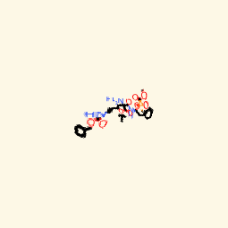 COC(=O)P(C)(=O)OC(CC1CCCCC1)NC(=O)[C@@](N)(CCCCNC(=O)OCc1ccccc1)C(=O)OC(C)(C)C